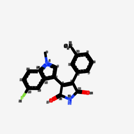 Cn1cc(C2=C(c3cccc([N+](=O)[O-])c3)C(=O)NC2=O)c2cc(F)ccc21